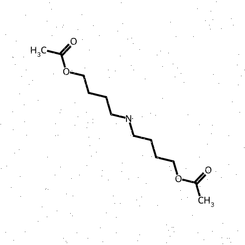 CC(=O)OCCCC[N]CCCCOC(C)=O